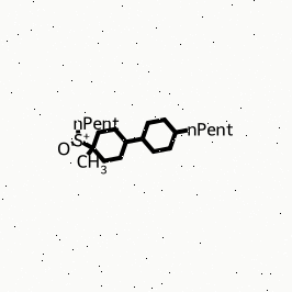 CCCCCC1CCC(C2CCC(C)([S+]([O-])CCCCC)CC2)CC1